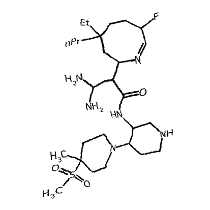 CCCC1(CC)CCC(F)/C=N\C(C(C(=O)NC2CNCCC2N2CCC(C)(S(C)(=O)=O)CC2)C(N)N)C1